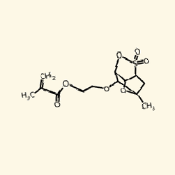 C=C(C)C(=O)OCCOC1C2OS(=O)(=O)C3CC1(C)OC23